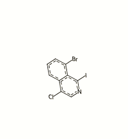 Clc1cnc(I)c2c(Br)cccc12